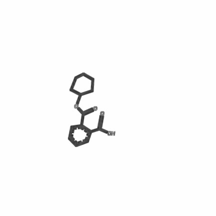 O=C(O)c1ccccc1C(=O)OC1CCCCC1